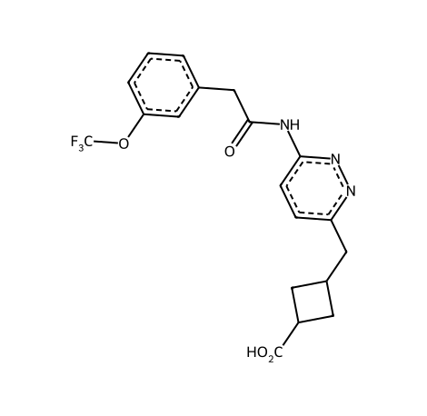 O=C(Cc1cccc(OC(F)(F)F)c1)Nc1ccc(CC2CC(C(=O)O)C2)nn1